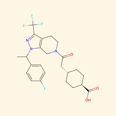 CC(c1ccc(F)cc1)n1nc(C(F)(F)F)c2c1CN(C(=O)C[C@H]1CC[C@H](C(=O)O)CC1)CC2